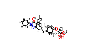 CC(C)(Oc1ccc(CCCC2=NN(c3ccccc3)C(=O)C2(C)C)cc1)C(=O)O